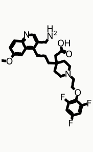 COc1ccc2ncc(CN)c(CCCC3(CC(=O)O)CCN(CCOc4c(F)cc(F)cc4F)CC3)c2c1